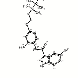 CC(C)(C)[Si](C)(C)CCOc1ccc(NC(=O)c2n[nH]c3ncc(Br)cc23)c(N)c1